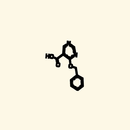 O=C(O)c1cncnc1OCc1ccccc1